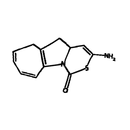 NC1=CC2CC3=C(C=CC=CC3)N2C(=O)S1